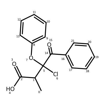 CC(C(=O)O)C(Cl)(Oc1ccccc1)C(=O)c1ccccc1